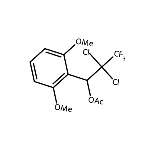 COc1cccc(OC)c1C(OC(C)=O)C(Cl)(Cl)C(F)(F)F